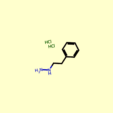 Cl.Cl.NNCCc1ccccc1